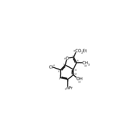 CCCc1cc(Cl)c2oc(C(=O)OCC)c(C)c2c1O